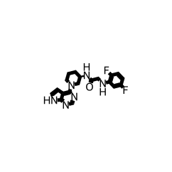 O=C(CNc1cc(F)ccc1F)N[C@@H]1CCCN(c2ncnc3[nH]ccc23)C1